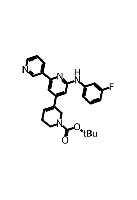 CC(C)(C)OC(=O)N1CCC=C(c2cc(Nc3cccc(F)c3)nc(-c3cccnc3)c2)C1